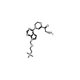 C[Si](C)(C)CCOCn1ccc2c(N3C=C(C(=O)CN)SCC3)ncnc21